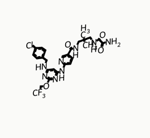 CC(C)(CNC(=O)C(N)=O)CNC(=O)c1ccc(Nc2cc(NCc3ccc(Cl)cc3)nc(OCC(F)(F)F)n2)nc1